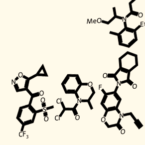 C#CCN1C(=O)COc2cc(F)c(N3C(=O)C4=C(CCCC4)C3=O)cc21.CC1COc2ccccc2N1C(=O)C(Cl)Cl.CCc1cccc(C)c1N(C(=O)CCl)C(C)COC.CS(=O)(=O)c1cc(C(F)(F)F)ccc1C(=O)c1cnoc1C1CC1